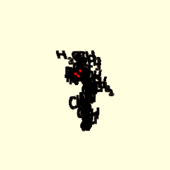 CCOP(=O)(OCC)[C@](CO)(Cc1nnnn1COCC[Si](C)(C)C)OC[C@H]1O[C@@H](n2ncc3c(OC(=O)NCc4ccccc4Cl)nc(Cl)nc32)[C@@H]2OC(C)(C)O[C@@H]21